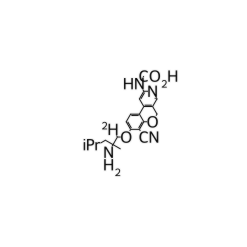 [2H]C(Oc1ccc2c(c1C#N)OCc1cnc(NC(=O)O)cc1-2)C(C)(N)CC(C)C